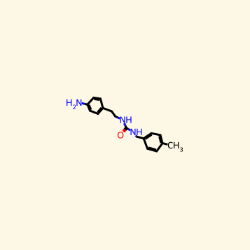 Cc1ccc(CNC(=O)NCCc2ccc(N)cc2)cc1